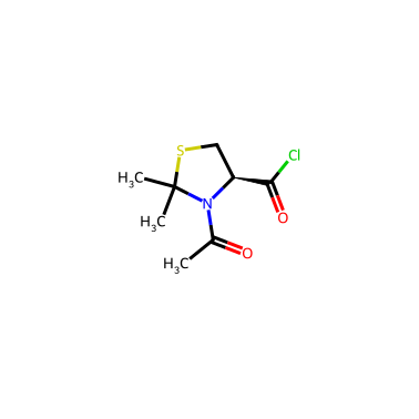 CC(=O)N1[C@H](C(=O)Cl)CSC1(C)C